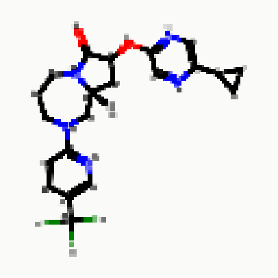 O=C1[C@@H](Oc2cnc(C3CC3)cn2)C[C@@H]2CN(c3ccc(C(F)(F)F)cn3)CCCN12